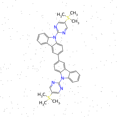 CS(C)(C)c1cnc(-n2c3ccccc3c3cc(-c4ccc5c(c4)c4ccccc4n5-c4ncc(S(C)(C)C)cn4)ccc32)nc1